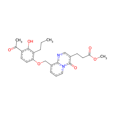 CCCc1c(OCc2cccn3c(=O)c(CCC(=O)OC)cnc23)ccc(C(C)=O)c1O